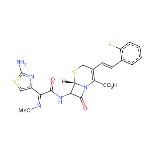 CON=C(C(=O)NC1C(=O)N2C(C(=O)O)=C(C=Cc3ccccc3F)CS[C@@H]12)c1csc(N)n1